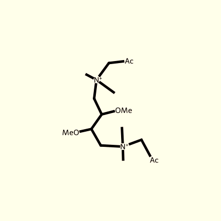 COC(C[N+](C)(C)CC(C)=O)C(C[N+](C)(C)CC(C)=O)OC